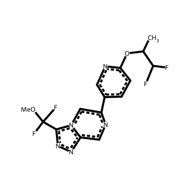 COC(F)(F)c1nnc2cnc(-c3ccc(OC(C)C(F)F)nc3)cn12